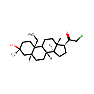 COC[C@]12CC[C@](O)(C(F)(F)F)C[C@H]1CC[C@@H]1C2CC[C@]2(C)[C@@H](C(=O)CBr)CC[C@@H]12